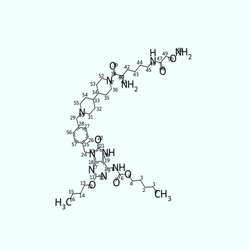 CCCCCOC(=O)Nc1nc(OCCCC)nc2c1[nH]c(=O)n2Cc1ccc(CN2CCC(C3CCN(C(=O)[C@@H](N)CCCCNC(=O)CON)CC3)CC2)cc1